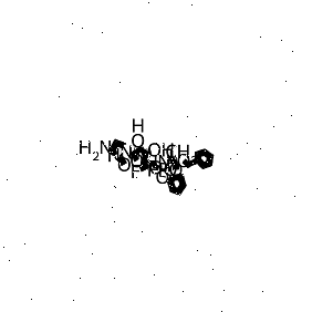 C[C@H](NP(=O)(OC[C@@]1(C(F)F)O[C@@H](n2ccc(N)nc2=O)[C@H](O)[C@@H]1O)Oc1ccccc1)C(=O)OCc1ccccc1